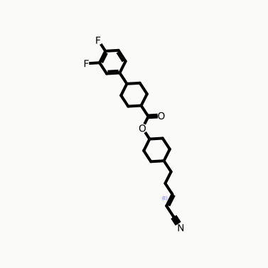 N#C/C=C/CCC1CCC(OC(=O)C2CCC(c3ccc(F)c(F)c3)CC2)CC1